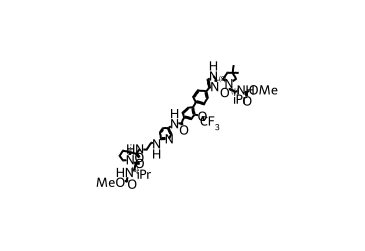 COC(=O)N[C@H](C(=O)N1CC(C)(C)C[C@H]1c1nc(-c2ccc(-c3ccc(C(=O)Nc4ccc(NCCNC(=O)[C@]5(C)CCCN5C(=O)[C@@H](NC(=O)OC)C(C)C)nc4)cc3OC(F)(F)F)cc2)c[nH]1)C(C)C